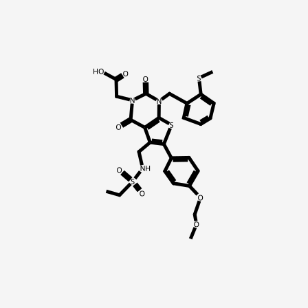 CCS(=O)(=O)NCc1c(-c2ccc(OCOC)cc2)sc2c1c(=O)n(CC(=O)O)c(=O)n2Cc1ccccc1SC